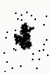 C=C(/C=C/C=C1/N(CCC)c2ccccc2C1(C)C)C(Cc1ccccc1)(Cc1ccc(F)cc1F)c1c(C)ccc2ccccc12